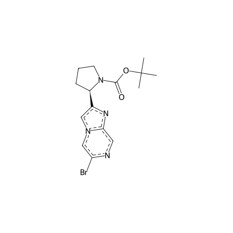 CC(C)(C)OC(=O)N1CCC[C@@H]1c1cn2cc(Br)ncc2n1